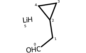 O=CCC1CC1.[LiH]